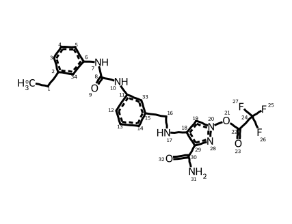 CCc1cccc(NC(=O)Nc2cccc(CNc3cn(OC(=O)C(F)(F)F)nc3C(N)=O)c2)c1